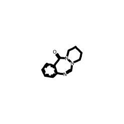 O=C1c2ccccc2N=CN2CCCCN12